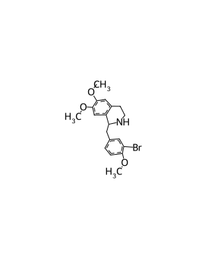 COc1ccc(CC2NCCc3cc(OC)c(OC)cc32)cc1Br